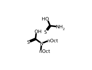 CCCCCCCCN(CCCCCCCC)C(O)=S.NC(O)=S